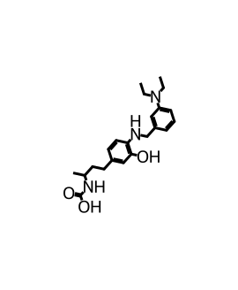 CCN(CC)c1cccc(CNc2ccc(CCC(C)NC(=O)O)cc2O)c1